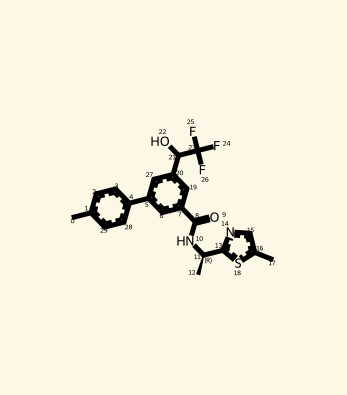 Cc1ccc(-c2cc(C(=O)N[C@H](C)c3ncc(C)s3)cc(C(O)C(F)(F)F)c2)cc1